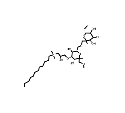 CCCCCCCCCCCC[N+](C)(C)CC(O)CO[C@@H]1C(O)[C@@H](COCC2(C)O[C@H](CC)C(O)[C@@H](O)[C@H]2O)OC(C)(COC)[C@@H]1O